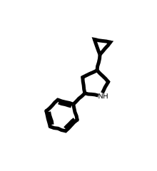 c1ccc(C2CC(C3CC3)CN2)cc1